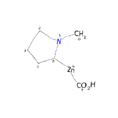 CN1CCC[CH]1[Zn][C](=O)O